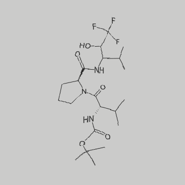 CC(C)C(NC(=O)[C@@H]1CCCN1C(=O)[C@@H](NC(=O)OC(C)(C)C)C(C)C)C(O)C(F)(F)F